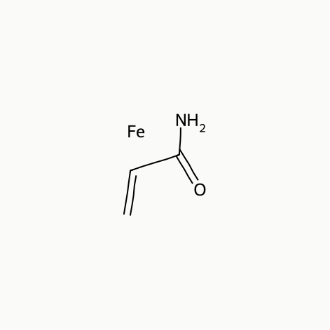 C=CC(N)=O.[Fe]